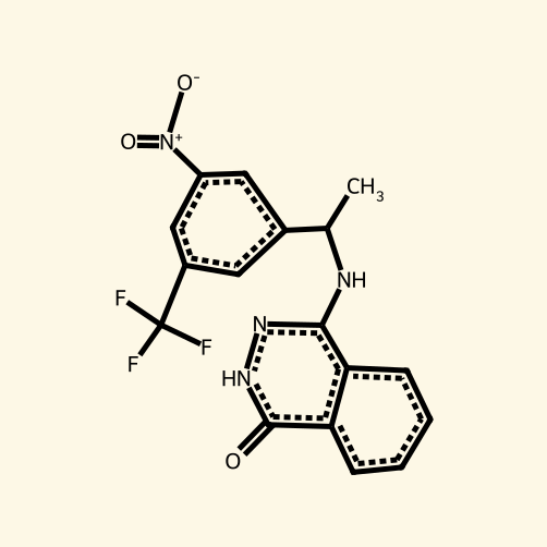 CC(Nc1n[nH]c(=O)c2ccccc12)c1cc([N+](=O)[O-])cc(C(F)(F)F)c1